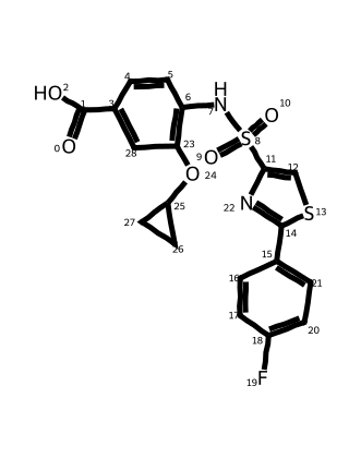 O=C(O)c1ccc(NS(=O)(=O)c2csc(-c3ccc(F)cc3)n2)c(OC2CC2)c1